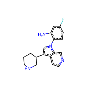 Nc1cc(F)ccc1-n1cc(C2CCCNC2)c2ccncc21